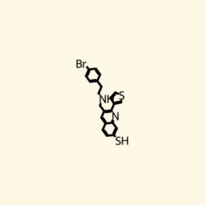 Sc1ccc2cc(CNCCc3ccc(Br)cc3)c(-c3ccsc3)nc2c1